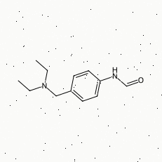 CCN(CC)Cc1ccc(NC=O)cc1